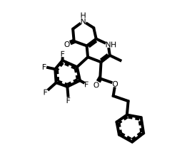 CC1=C(C(=O)OCCc2ccccc2)C(c2c(F)c(F)c(F)c(F)c2F)C2=C(CNCC2=O)N1